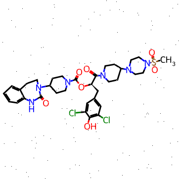 CS(=O)(=O)N1CCN(C2CCN(C(=O)[C@@H](Cc3cc(Cl)c(O)c(Cl)c3)OC(=O)N3CCC(N4CCc5ccccc5NC4=O)CC3)CC2)CC1